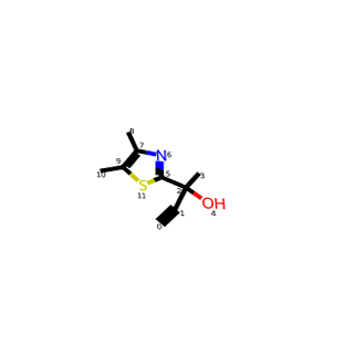 C#CC(C)(O)c1nc(C)c(C)s1